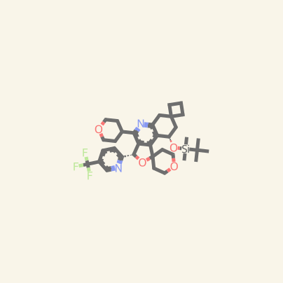 CC(C)(C)[Si](C)(C)O[C@H]1CC2(CCC2)Cc2nc(C3CCOCC3)c3c(c21)C1(CCOCC1)O[C@@H]3c1ccc(C(F)(F)F)cn1